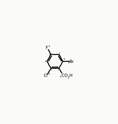 O=C(O)c1c(Cl)cc(F)cc1Br